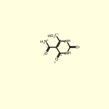 NC(=O)c1c(C(=O)O)[nH]c(=O)[nH]c1=O